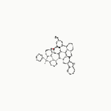 CC(C)(C)c1cc(-c2cccc3cccc(-c4ccccc4N(c4ccc5oc6ccccc6c5c4)c4cccc5c4-c4ccccc4C5(C)c4ccccc4)c23)cc(C(C)(C)C)c1